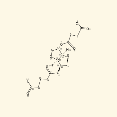 O=C(Cl)CCC(=O)O[C@H]1CO[C@H]2[C@@H]1OC[C@H]2OC(=O)CCCC(=O)I